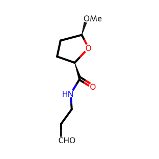 CO[C@@H]1CC[C@H](C(=O)NCCC=O)O1